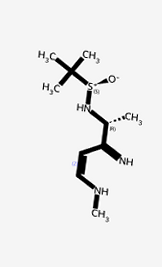 CN/C=C\C(=N)[C@@H](C)N[S@+]([O-])C(C)(C)C